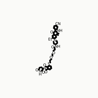 CCc1cc2c(cc1N1CCC(NC(=O)CCOCCOCCCSc3cccc4c3C(=O)N(C3CCC(=O)NC3=O)C4=O)CC1)C(C)(C)c1[nH]c3cc(C#N)ccc3c1C2=O